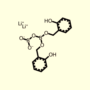 [Li+].[Li+].[O-]B([O-])OB(OCc1ccccc1O)OCc1ccccc1O